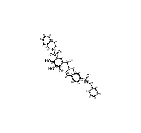 O=C(c1cc(S(=O)(=O)N2CCc3ccccc3C2)c(O)c(O)c1O)N1CCc2ccc([S+]([O-])NCc3ccccc3)cc2C1